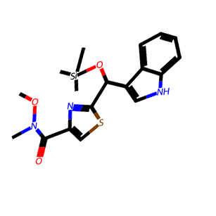 CON(C)C(=O)c1csc(C(O[Si](C)(C)C)c2c[nH]c3ccccc23)n1